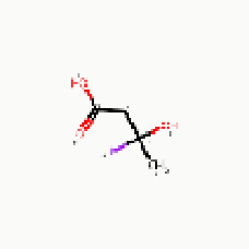 CC(O)(I)CC(=O)O